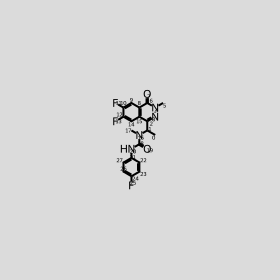 CC(c1nn(C)c(=O)c2cc(F)c(F)cc12)N(C)C(=O)Nc1ccc(F)cc1